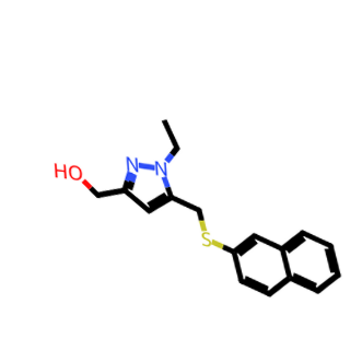 CCn1nc(CO)cc1CSc1ccc2ccccc2c1